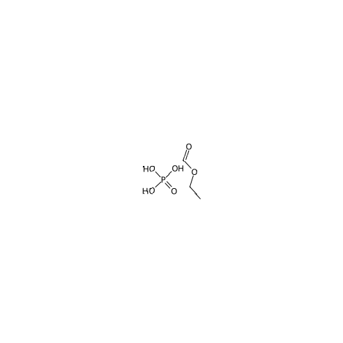 CCOC=O.O=P(O)(O)O